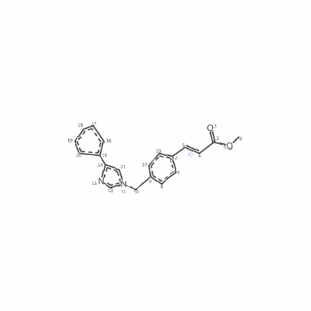 COC(=O)/C=C/c1ccc(Cn2cnc(-c3ccccc3)c2)cc1